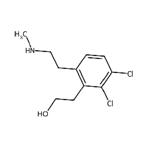 CNCCc1ccc(Cl)c(Cl)c1CCO